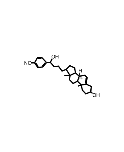 CC12CCC(O)CC1=CC[C@@H]1C2CCC2(C)C(CCCC(O)c3ccc(C#N)cc3)CCC12